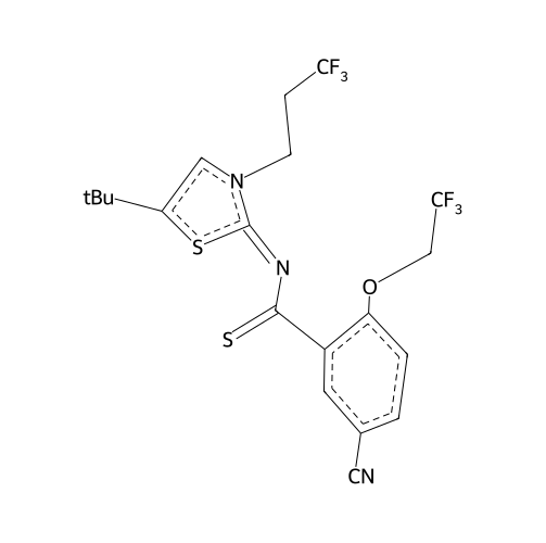 CC(C)(C)c1cn(CCC(F)(F)F)/c(=N/C(=S)c2cc(C#N)ccc2OCC(F)(F)F)s1